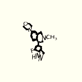 CN1Cc2cc(N3CCOCC3)ccc2C(c2cc(F)c3[nH]ncc3c2)C1